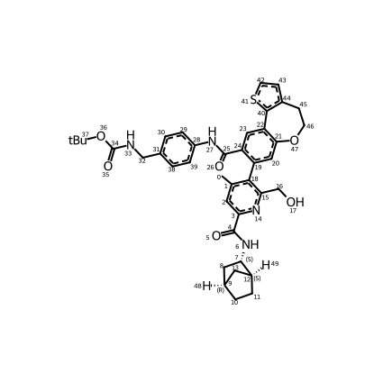 Cc1cc(C(=O)N[C@H]2C[C@@H]3CC[C@H]2C3)nc(CO)c1-c1cc2c(cc1C(=O)Nc1ccc(CNC(=O)OC(C)(C)C)cc1)-c1sccc1CCO2